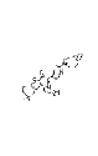 CC1(C)CCc2sc(NC(=O)c3cnc(N4CCOCC4)nc3)c(C(=O)O)c2C1